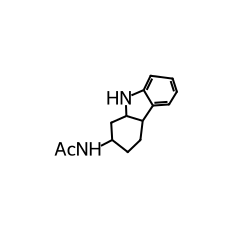 CC(=O)NC1CCC2c3ccccc3NC2C1